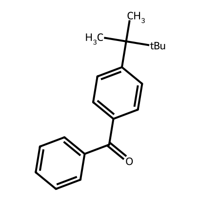 CC(C)(C)C(C)(C)c1ccc(C(=O)c2ccccc2)cc1